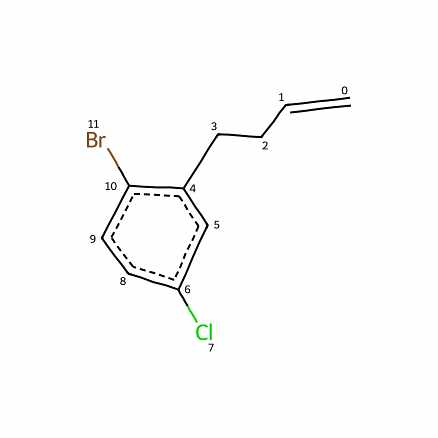 C=CCCc1cc(Cl)ccc1Br